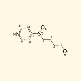 [O]CCCC[S+]([O-])c1ccncc1